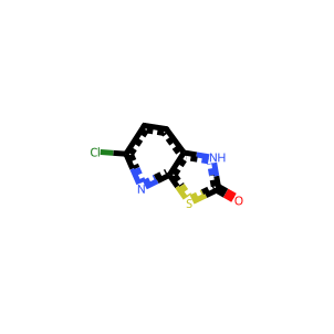 O=c1[nH]c2ccc(Cl)nc2s1